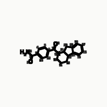 NC(=O)c1ccc(C(=O)N2CCCC3c4ccccc4CC32)cc1